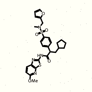 COc1ccc2nc(NC(=O)C(CC3CCCC3)c3ccc(S(=O)(=O)N(C)Cc4ccco4)cc3)sc2n1